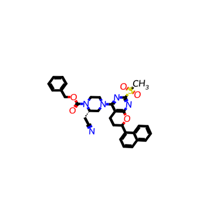 CS(=O)(=O)c1nc2c(c(N3CCN(C(=O)OCc4ccccc4)[C@@H](CC#N)C3)n1)CCC(c1cccc3ccccc13)O2